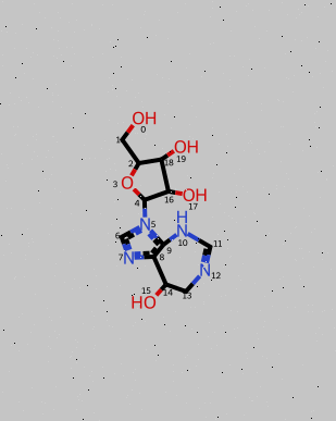 OCC1OC(n2cnc3c2NC=NCC3O)C(O)C1O